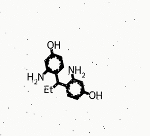 CCC(c1ccc(O)cc1N)c1ccc(O)cc1N